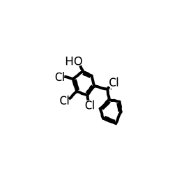 Oc1cc([C](Cl)c2ccccc2)c(Cl)c(Cl)c1Cl